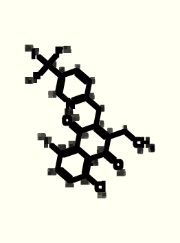 CCC1=C(Cc2ccc(C(F)(F)F)cn2)C(=O)c2c(F)ccc(Cl)c2C1=O